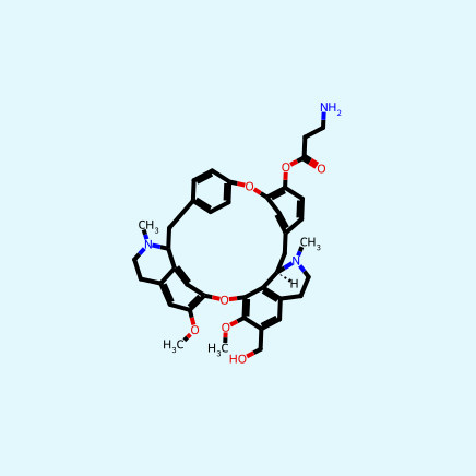 COc1cc2c3cc1Oc1c(OC)c(CO)cc4c1[C@@H](Cc1ccc(OC(=O)CCN)c(c1)Oc1ccc(cc1)CC3N(C)CC2)N(C)CC4